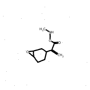 C=C(C(=O)ONC)C1CCC2OC2C1